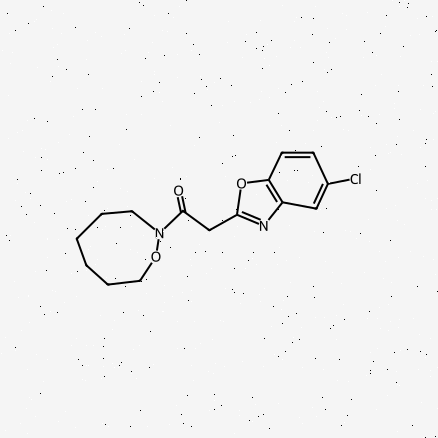 O=C(Cc1nc2cc(Cl)ccc2o1)N1CCCCCCO1